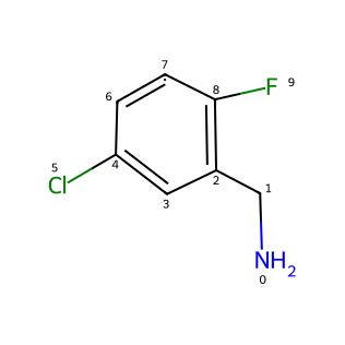 NCc1cc(Cl)c[c]c1F